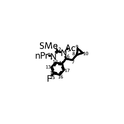 CCCN=C(SC)N(C(C)=O)C(CC1CC1)c1ccc(F)cc1